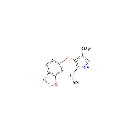 CCCOc1[nH]nc(C(=O)O)c1Oc1ccc2c(c1)OCO2